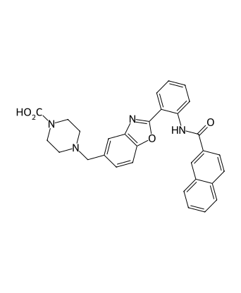 O=C(Nc1ccccc1-c1nc2cc(CN3CCN(C(=O)O)CC3)ccc2o1)c1ccc2ccccc2c1